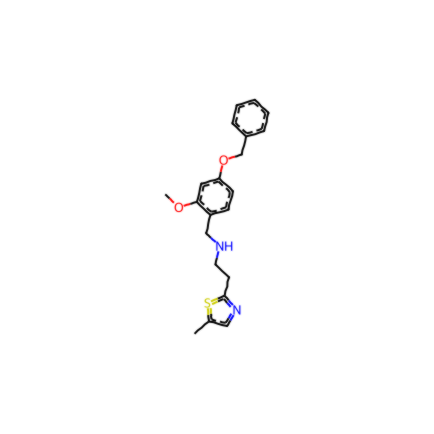 COc1cc(OCc2ccccc2)ccc1CNCCc1ncc(C)s1